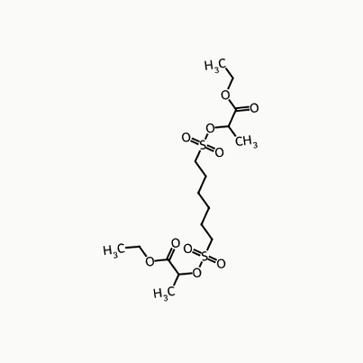 CCOC(=O)C(C)OS(=O)(=O)CCCCCCS(=O)(=O)OC(C)C(=O)OCC